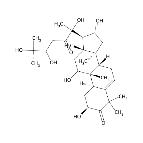 CC1(C)C(=O)[C@@H](O)C[C@@H]2C1=CC[C@@H]1[C@@]2(C)C(O)C[C@]2(C)[C@@H](C(C)(O)C(=O)CC(O)C(C)(C)O)[C@H](O)C[C@@]12C